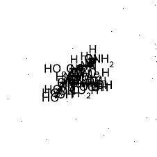 CNC(=O)[C@H](CCC(=O)O)NC(=O)[C@H](CCC(=O)NC[C@H](O)[C@@H](O)[C@H](O)[C@H](O)CO)NC(=O)[C@H](CCC(=O)O)NC(=O)[C@H](CCC(=O)NC[C@H](O)[C@@H](O)[C@H](O)[C@H](O)CO)NC(=O)CC[C@H](NC(=O)c1ccc(NCc2cnc3cc(N)[nH]c(=O)c3n2)cc1)C(=O)O